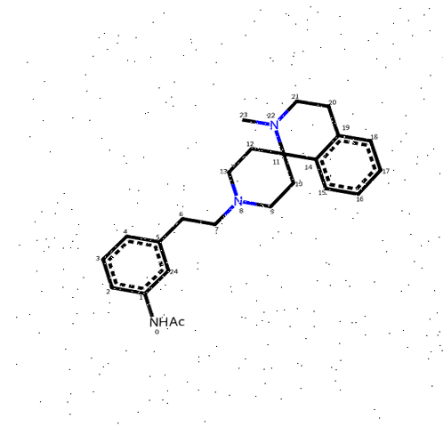 CC(=O)Nc1cccc(CCN2CCC3(CC2)c2ccccc2CCN3C)c1